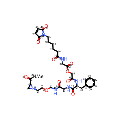 CNC(=O)[C@@H]1CN1CCOCNC(=O)CNC(=O)[C@H](Cc1ccccc1)NC(=O)COC(=O)CNC(=O)CCCCCN1C(=O)C=CC1=O